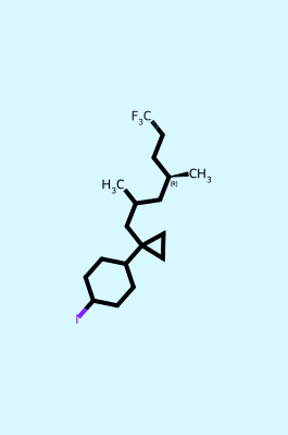 CC(C[C@H](C)CCC(F)(F)F)CC1(C2CCC(I)CC2)CC1